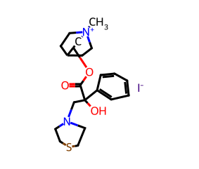 C[N+]12CCC(CC1)C(OC(=O)C(O)(CN1CCSCC1)c1ccccc1)C2.[I-]